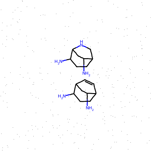 NC1CC2C=CC1CCC2N.NC1CC2NCC1CCC2N